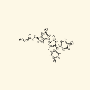 C[C@@H]1CN(c2nc(Cl)nc3c2ncn3CCN(C)C(=O)O)[C@@H](C)CN1C(c1ccc(Cl)cc1)c1ccc(Cl)cc1